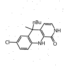 CCCCC1(C)c2cc(Cl)ccc2Nc2c1cc[nH]c2=O